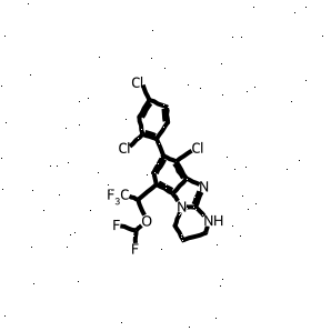 FC(F)OC(c1cc(-c2ccc(Cl)cc2Cl)c(Cl)c2nc3n(c12)CCCN3)C(F)(F)F